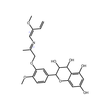 C=C/C(=C\N=C(/C)COc1cc(C2Oc3cc(O)cc(O)c3C(O)C2O)ccc1OC)OC